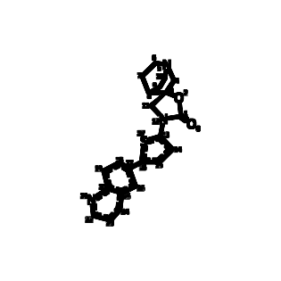 O=C1O[C@]2(CN3CCC2CC3)CN1c1ccc(-c2ccc3ncccc3c2)s1